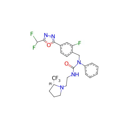 O=C(NCCN1CCC[C@@H]1C(F)(F)F)N(Cc1ccc(-c2nnc(C(F)F)o2)cc1F)c1ccccc1